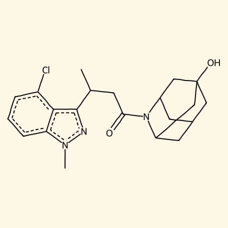 CC(CC(=O)N1C2CC3CC1CC(O)(C3)C2)c1nn(C)c2cccc(Cl)c12